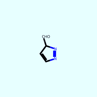 O=CC1C=CN=N1